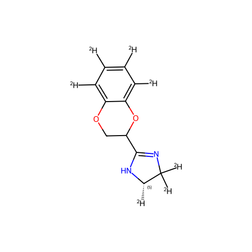 [2H]c1c([2H])c([2H])c2c(c1[2H])OCC(C1=NC([2H])([2H])[C@H]([2H])N1)O2